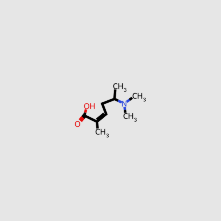 CC(=CCC(C)N(C)C)C(=O)O